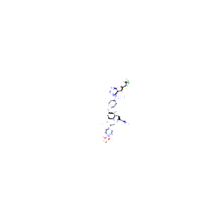 CCS(=O)(=O)N1CCN(C(C)Cn2c(C#N)cc3c(C)c(CN4CCC(Nc5ncnc6sc(CC(F)(F)F)cc56)CC4)ccc32)CC1